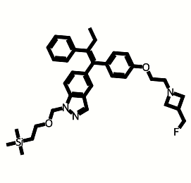 CCC(=C(c1ccc(OCCN2CC(CF)C2)cc1)c1ccc2c(cnn2COCC[Si](C)(C)C)c1)c1ccccc1